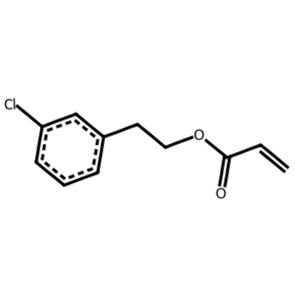 C=CC(=O)OCCc1cccc(Cl)c1